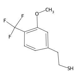 COc1cc(CCS)ccc1C(F)(F)F